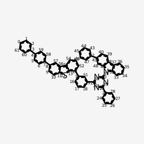 c1ccc(-c2ccc(-c3ccc4sc5c(-c6cccc(-c7nc(-c8ccccc8)nc(-n8c9ccccc9c9ccc(-c%10ccccc%10)cc98)n7)c6)cccc5c4c3)cc2)cc1